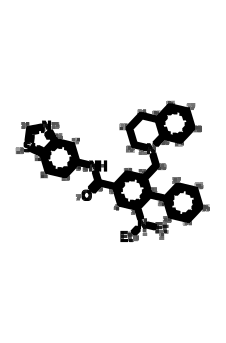 CCN(CC)c1cc(C(=O)Nc2ccc3scnc3c2)cc(CN2CCCc3ccccc32)c1-c1ccccc1